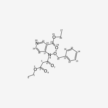 CCOC(=O)CC(=O)N(OCc1ccccc1)c1ccncc1C(=O)OCC